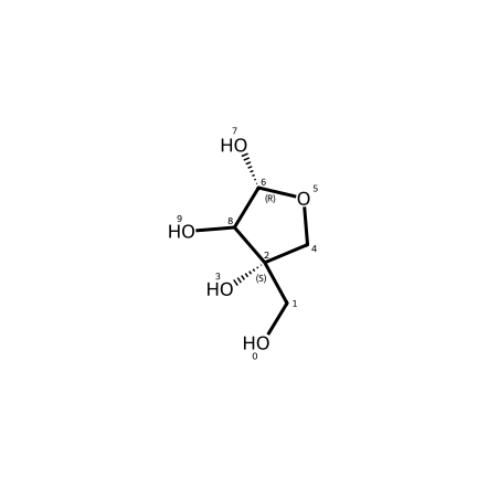 OC[C@]1(O)CO[C@@H](O)C1O